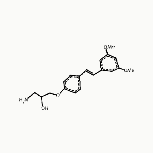 COc1cc(/C=C/c2ccc(OCC(O)CN)cc2)cc(OC)c1